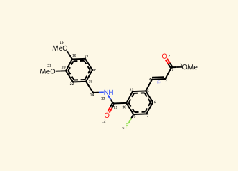 COC(=O)/C=C/c1ccc(F)c(C(=O)NCc2ccc(OC)c(OC)c2)c1